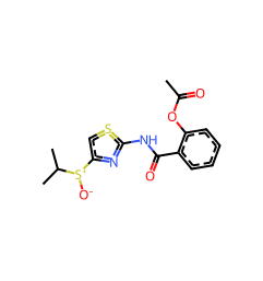 CC(=O)Oc1ccccc1C(=O)Nc1nc([S+]([O-])C(C)C)cs1